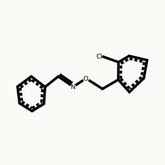 Clc1ccccc1CON=Cc1ccccc1